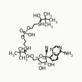 CC(C)(C)C(O)=[SH]CCOP(=O)(O)OCC[SH]=C(OOC[C@H]1O[C@](C#N)(c2ccc3c(N)ncnn23)[C@H](O)[C@@H]1O)C(C)(C)C